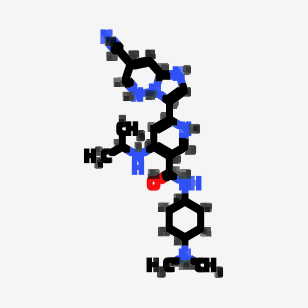 CC(C)Nc1cc(-c2cnc3cc(C#N)cnn23)ncc1C(=O)NC1CCC(N(C)C)CC1